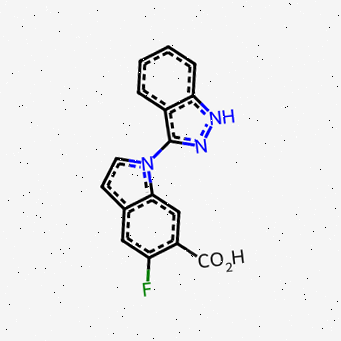 O=C(O)c1cc2c(ccn2-c2n[nH]c3ccccc23)cc1F